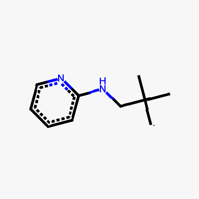 [CH2]C(C)(C)CNc1ccccn1